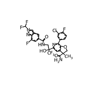 C[C@]1(C(N)=O)COc2c1cc(C(O)(CNC(=O)c1cc(F)c3nn(C(F)F)cc3c1)C(F)(F)F)nc2-c1ccc(F)c(Cl)c1